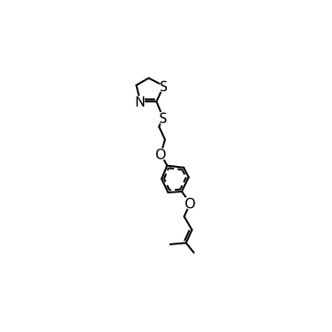 CC(C)=CCOc1ccc(OCCSC2=NCCS2)cc1